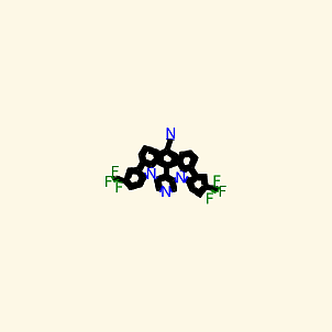 N#Cc1ccc(-c2c(-n3c4ccccc4c4cc(C(F)(F)F)ccc43)cncc2-n2c3ccccc3c3cc(C(F)(F)F)ccc32)cc1